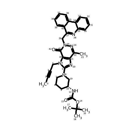 CC#CCn1c(N2CCC[C@@H](NC(=O)OC(C)(C)C)C2)nc2c(C)nn(Cc3nc4ccccc4c4ccccc34)c(=O)c21